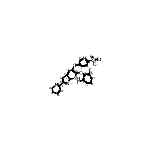 CCS(=O)(=O)c1ccc(OC2=C(Oc3c(F)cccc3F)NC3NC(C4=NCCC=C4)=CC3=C2)cn1